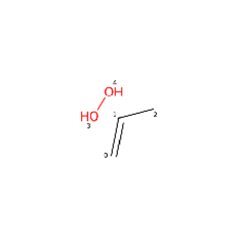 C=CC.OO